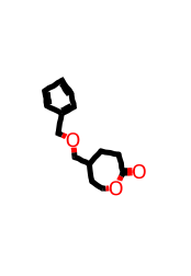 O=C1CCC(COCc2ccccc2)CCO1